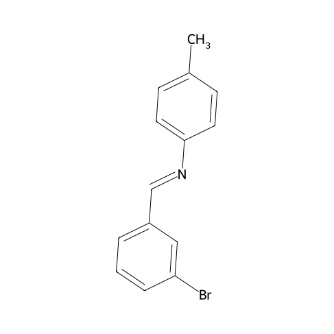 Cc1ccc(N=Cc2cccc(Br)c2)cc1